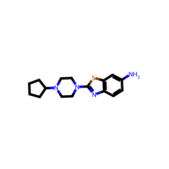 Nc1ccc2nc(N3CCN(C4CCCC4)CC3)sc2c1